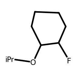 CC(C)OC1CCCC[C]1F